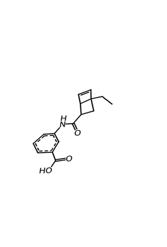 CCC12C=CC1C(C(=O)Nc1cccc(C(=O)O)c1)C2